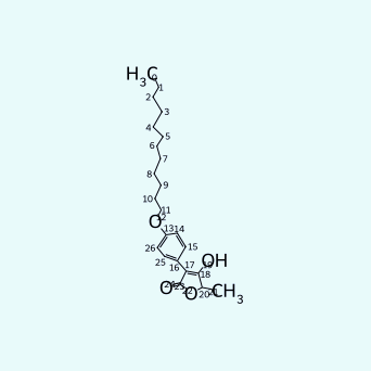 CCCCCCCCCCCCOc1ccc(C2=C(O)C(C)OC2=O)cc1